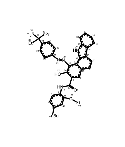 CCCCc1ccc(NC(=O)c2cc3ccc4c5ccccc5[nH]c4c3c(N=Nc3ccc(C(N)(CC)CCC)cc3)c2O)c(OCC)c1